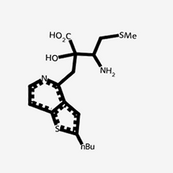 CCCCc1cc2c(CC(O)(C(=O)O)C(N)CSC)nccc2s1